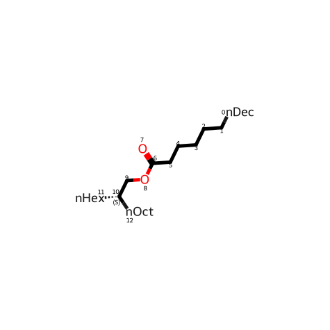 CCCCCCCCCCCCCCCC(=O)OC[C@@H](CCCCCC)CCCCCCCC